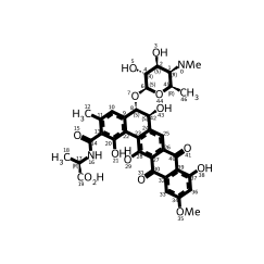 CN[C@@H]1[C@H](O)[C@@H](O)[C@H](O[C@H]2c3cc(C)c(C(=O)N[C@H](C)C(=O)O)c(O)c3-c3c(cc4c(c3O)C(=O)c3cc(OC)cc(O)c3C4=O)[C@@H]2O)O[C@@H]1C